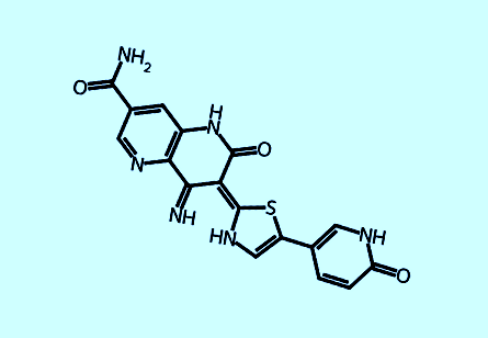 N=C1/C(=C2\NC=C(c3ccc(=O)[nH]c3)S2)C(=O)Nc2cc(C(N)=O)cnc21